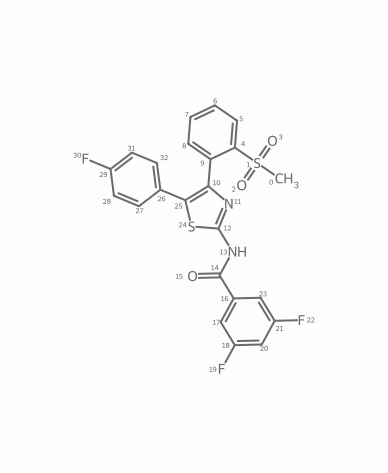 CS(=O)(=O)c1ccccc1-c1nc(NC(=O)c2cc(F)cc(F)c2)sc1-c1ccc(F)cc1